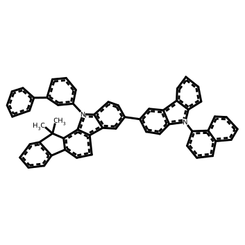 CC1(C)c2ccccc2-c2ccc3c4cc(-c5ccc6c(c5)c5ccccc5n6-c5cccc6ccccc56)ccc4n(-c4cccc(-c5ccccc5)c4)c3c21